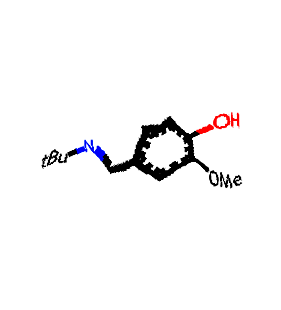 COc1cc(/C=N/C(C)(C)C)ccc1O